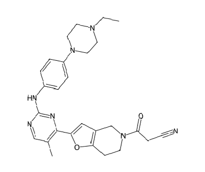 CCN1CCN(c2ccc(Nc3ncc(C)c(-c4cc5c(o4)CCN(C(=O)CC#N)C5)n3)cc2)CC1